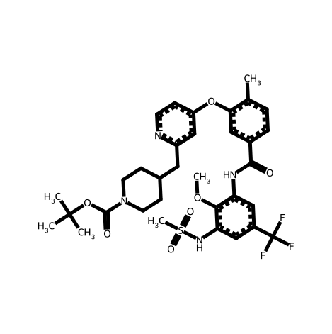 COc1c(NC(=O)c2ccc(C)c(Oc3ccnc(CC4CCN(C(=O)OC(C)(C)C)CC4)c3)c2)cc(C(F)(F)F)cc1NS(C)(=O)=O